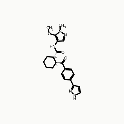 COc1c(NC(=O)[C@H]2CCCC[C@@H]2C(=O)c2ccc(-c3cc[nH]n3)cc2)cnn1C